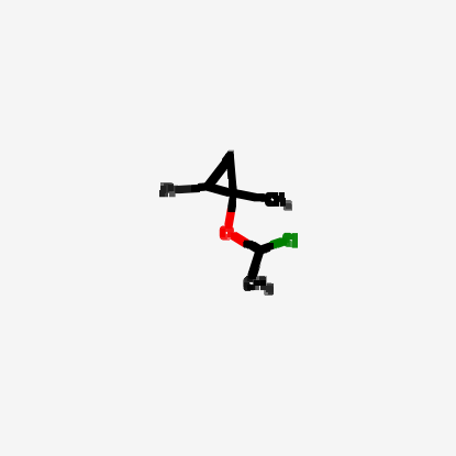 C[C](Cl)OC1(C)CC1C(C)C